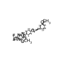 CCn1c(-c2ccc(OCC#Cc3cccc(OC)c3)cc2)nc2nc(C(F)F)[nH]c(=O)c21